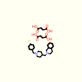 Fc1ccc(CN2CCC(CN3CCc4ccccc4C3)CC2)cc1.O=C(O)/C=C/C(=O)O.O=C(O)/C=C/C(=O)O